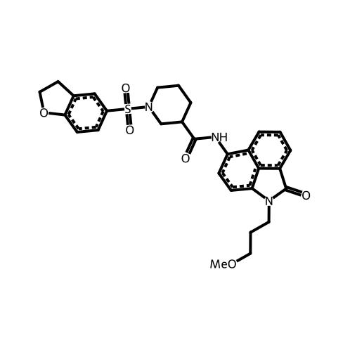 COCCCN1C(=O)c2cccc3c(NC(=O)C4CCCN(S(=O)(=O)c5ccc6c(c5)CCO6)C4)ccc1c23